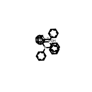 C[C@H](O)[C@]12[CH]3[CH]4[CH]5[C]1(P(c1ccccc1)c1ccccc1)[Fe]45321678[CH]2[CH]1[CH]6[C]7(P(c1ccccc1)c1ccccc1)[CH]28